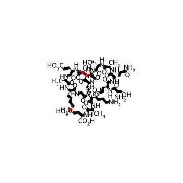 CSCC[C@H](NC(=O)[C@@H](N)CO)C(=O)N[C@@H](CCC(N)=O)C(=O)N[C@@H](C)C(=O)N[C@@H](CO)C(=O)N[C@@H](CC(C)C)C(=O)N[C@@H](CC(=O)O)C(=O)N[C@@H](C)C(=O)N[C@@H](CCC(=O)O)C(=O)N[C@@H](C)C(=O)N[C@@H](CCCCN)C(=O)NCC(=O)N[C@@H](CCCCN)C(=O)N[C@@H](C)C(=O)N[C@@H](CCC(=O)O)C(=O)O